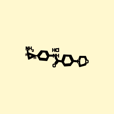 Cl.N[C@@H]1C[C@H]1c1ccc(NC(=O)c2ccc(N3CCOCC3)cc2)cc1